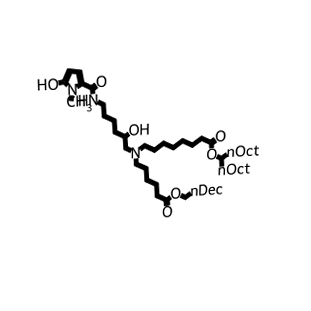 CCCCCCCCCCCOC(=O)CCCCCN(CCCCCCCC(=O)OC(CCCCCCCC)CCCCCCCC)CC(O)CCCCNC(=O)c1ccc(O)n1C